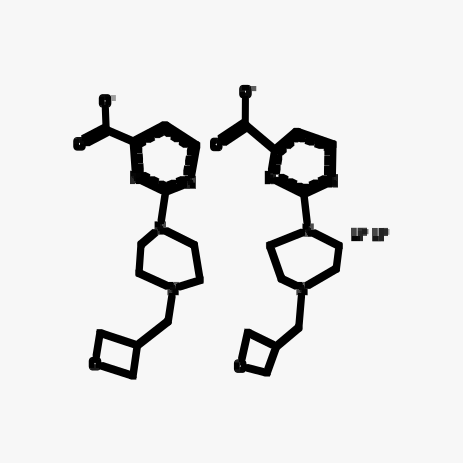 O=C([O-])c1ccnc(N2CCN(CC3COC3)CC2)n1.O=C([O-])c1ccnc(N2CCN(CC3COC3)CC2)n1.[Li+].[Li+]